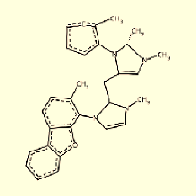 Cc1ccccc1N1C(CC2N(C)C=CN2c2c(C)ccc3c2oc2ccccc23)=CN(C)[C@H]1C